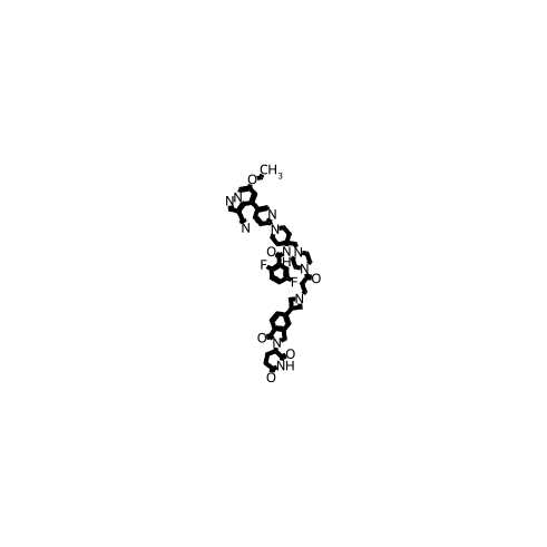 CCOc1cc(-c2ccc(N3CCC(CN4CCN(C(=O)CCN5CC(c6ccc7c(c6)CN(C6CCC(=O)NC6=O)C7=O)C5)CC4)(NC(=O)c4cc(F)ccc4F)CC3)nc2)c2c(C#N)cnn2c1